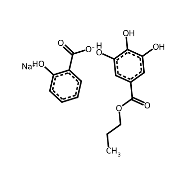 CCCOC(=O)c1cc(O)c(O)c(O)c1.O=C([O-])c1ccccc1O.[Na+]